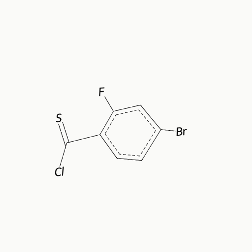 Fc1cc(Br)ccc1C(=S)Cl